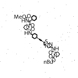 CCCCOC(=O)N1CCC[C@H]1C(=O)Nc1cn2cc(C#Cc3ccc(NC(=O)[C@@H]4CCCN4C(=O)[C@H](NC(=O)OC)c4ccccc4)cc3)sc2n1